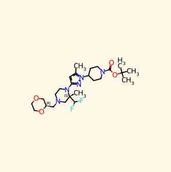 Cc1cc(N2CCN(C[C@@H]3COCCO3)C[C@@]2(C)C(F)F)nn1C1CCN(C(=O)OC(C)(C)C)CC1